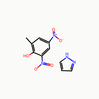 Cc1cc([N+](=O)[O-])cc([N+](=O)[O-])c1O.c1cn[nH]c1